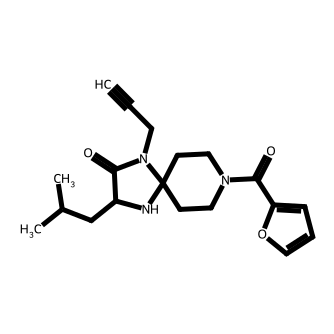 C#CCN1C(=O)C(CC(C)C)NC12CCN(C(=O)c1ccco1)CC2